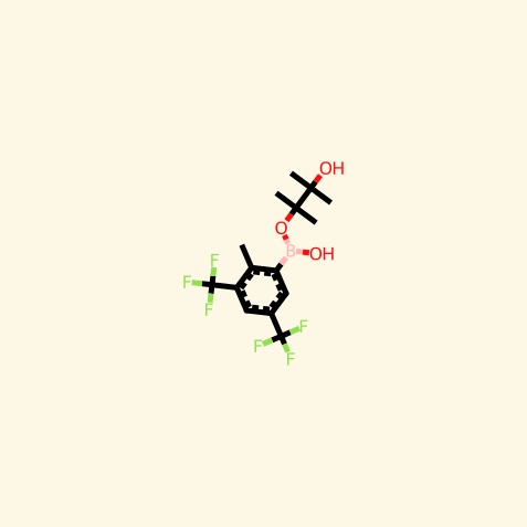 Cc1c(B(O)OC(C)(C)C(C)(C)O)cc(C(F)(F)F)cc1C(F)(F)F